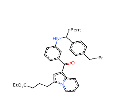 CCCCCC(Nc1cccc(C(=O)c2cc(CCCC(=O)OCC)n3ccccc23)c1)c1ccc(CC(C)C)cc1